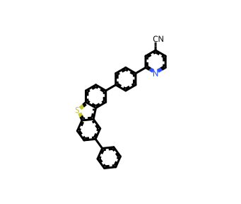 N#Cc1ccnc(-c2ccc(-c3ccc4sc5ccc(-c6ccccc6)cc5c4c3)cc2)c1